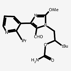 COc1nc(-c2cccnc2C(C)C)c(C=O)n1CC(OC(N)=O)C(C)(C)C